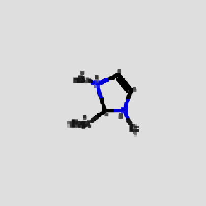 CCCCCCCC1N(CC)C=CN1CCCC